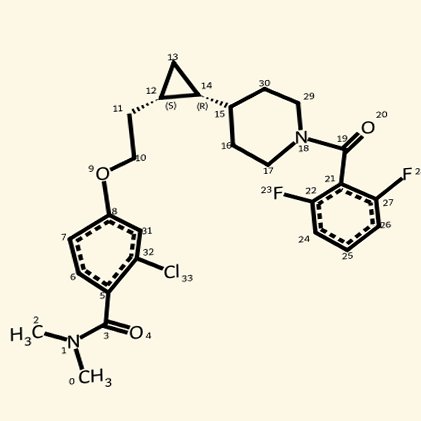 CN(C)C(=O)c1ccc(OCC[C@@H]2C[C@@H]2C2CCN(C(=O)c3c(F)cccc3F)CC2)cc1Cl